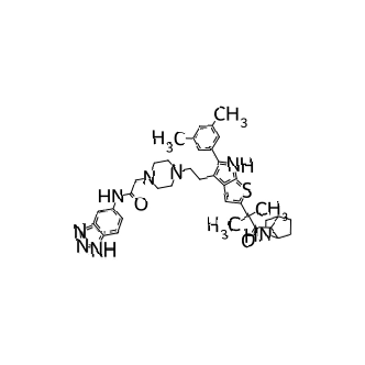 Cc1cc(C)cc(-c2[nH]c3sc(C(C)(C)C(=O)C4C5CCC4NC5)cc3c2CCN2CCN(CC(=O)Nc3ccc4[nH]nnc4c3)CC2)c1